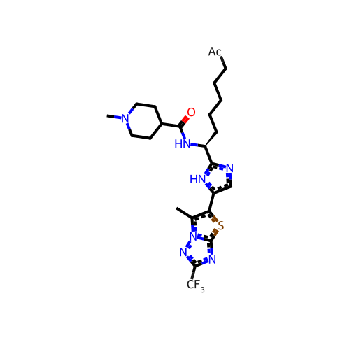 CC(=O)CCCCC[C@H](NC(=O)C1CCN(C)CC1)c1ncc(-c2sc3nc(C(F)(F)F)nn3c2C)[nH]1